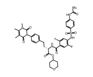 Cc1c(C)n(C)c(=O)n(-c2ccc(CC[C@H](NC(=O)c3cc(F)c(NS(=O)(=O)c4ccc(NC(=O)C(C)(C)C)cc4)cc3F)C(=O)OC3CCOCC3)cc2)c1=O